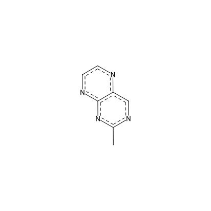 Cc1ncc2nccnc2n1